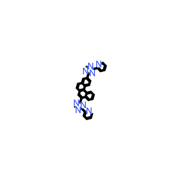 c1ccc(-c2ncnc(-c3ccc4c(ccc5cc(-c6ncnc(-c7ccccn7)n6)c6ccccc6c54)c3)n2)nc1